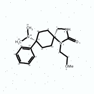 COCCN1C(=O)NC[C@]12CC[C@@](c1ccccc1)(N(C)C)CC2